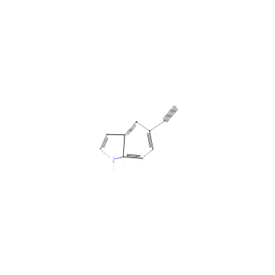 C#Cc1ccc2[nH]ccc2c1